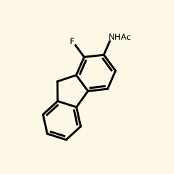 CC(=O)Nc1ccc2c(c1F)Cc1ccccc1-2